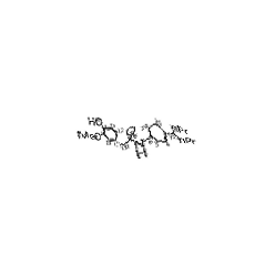 CCCC(CCC)C1=CCC(NC(=O)Cc2ccc(O)c(OC)c2)CC1